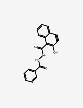 O=C(NNC(=O)c1c(O)c#cc2ccccc12)c1cccnc1